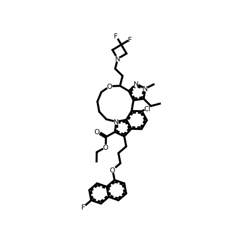 CCOC(=O)c1c(CCCOc2cccc3cc(F)ccc23)c2ccc(Cl)c3c2n1CCCCOC(CCN1CC(F)(F)C1)c1nn(C)c(CC)c1-3